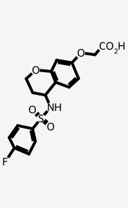 O=C(O)COc1ccc2c(c1)OCCC2NS(=O)(=O)c1ccc(F)cc1